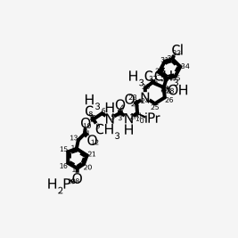 CC(C)[C@@H](NC(=O)NCC(C)(C)OC(=O)Cc1ccc(OP)cc1)C(=O)N1CC[C@](O)(c2ccc(Cl)cc2)C(C)(C)C1